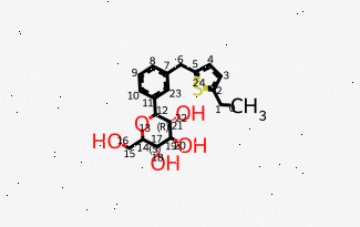 CCc1ccc(Cc2cccc(C3OC(CO)[C@@H](O)C(O)[C@H]3O)c2)s1